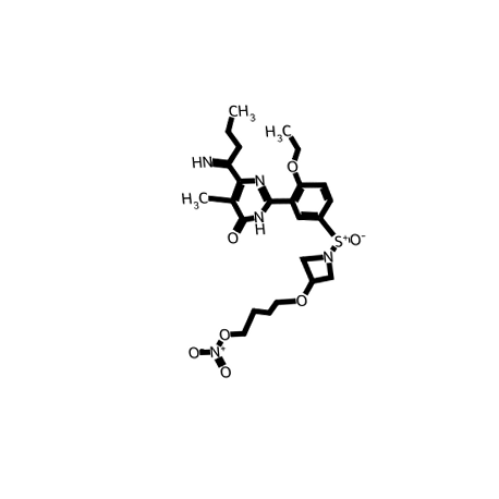 CCCC(=N)c1nc(-c2cc([S+]([O-])N3CC(OCCCCO[N+](=O)[O-])C3)ccc2OCC)[nH]c(=O)c1C